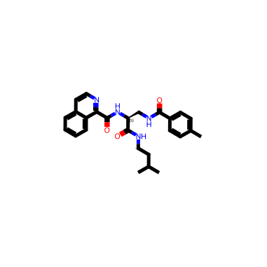 Cc1ccc(C(=O)NC[C@H](NC(=O)c2nccc3ccccc23)C(=O)N[CH]CC(C)C)cc1